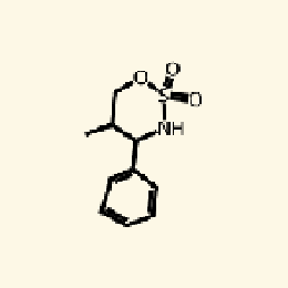 CC1COS(=O)(=O)NC1c1ccccc1